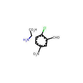 NCC(=O)O.O=Cc1cc([N+](=O)[O-])ccc1Cl